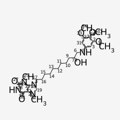 COc1cc(NCC(O)CCCCCCCCCN2CN(C)c3c2n(C)c(=O)[nH]c3=O)cc(OC)c1OC